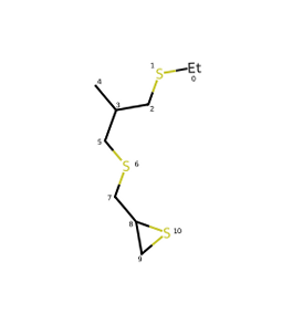 CCSCC(C)CSCC1CS1